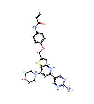 C=CC(=O)Nc1ccc(OCc2cc3nc(-c4cnc(N)nc4)cc(N4CCOCC4)c3s2)cc1